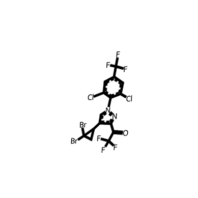 O=C(c1nn(-c2c(Cl)cc(C(F)(F)F)cc2Cl)cc1C1CC1(Br)Br)C(F)(F)F